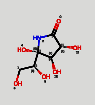 O=C1N[C@](O)([C@H](O)CO)[C@H](O)[C@H]1O